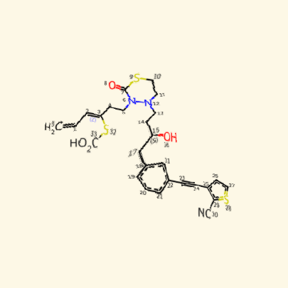 C=C/C=C(/CCN1C(=O)SCCN1CC[C@@H](O)Cc1cccc(C#Cc2ccsc2C#N)c1)SC(=O)O